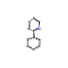 C1=C[N+]=C(c2ccccc2)C=C1